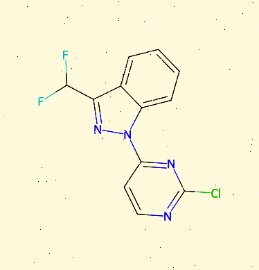 FC(F)c1nn(-c2ccnc(Cl)n2)c2ccccc12